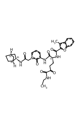 CCNC(=O)C(=O)CC[C@H](NC(=O)c1oc2ccccc2c1C)C(=O)Nc1cccn(CC(=O)N[C@@H]2C[C@H]3CC[C@@H]2C3)c1=O